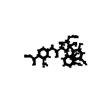 COC(=O)c1ccc(NC(=O)[C@@H]2N[C@@H](CC(C)(C)C)[C@](C#N)(c3ccc(Cl)cc3F)[C@H]2c2cccc(Cl)c2F)cc1C